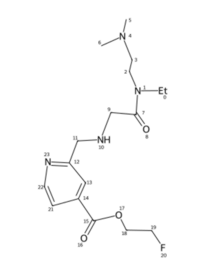 CCN(CCN(C)C)C(=O)CNCc1cc(C(=O)OCCF)ccn1